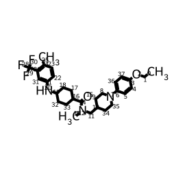 CCOc1ccc(N2CCC(CN(C)C(=O)C3CCC(Nc4ccc(C)c(C(F)(F)F)c4)CC3)CC2)cc1